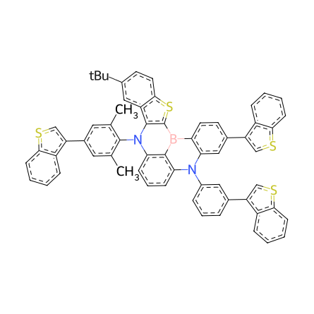 Cc1cc(-c2csc3ccccc23)cc(C)c1N1c2cccc3c2B(c2ccc(-c4csc5ccccc45)cc2N3c2cccc(-c3csc4ccccc34)c2)c2sc3ccc(C(C)(C)C)cc3c21